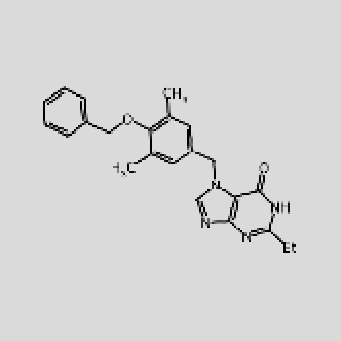 CCc1nc2ncn(Cc3cc(C)c(OCc4ccccc4)c(C)c3)c2c(=O)[nH]1